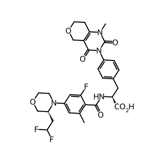 Cc1cc(N2CCOC[C@@H]2CC(F)F)cc(F)c1C(=O)N[C@@H](Cc1ccc(-n2c(=O)c3c(n(C)c2=O)CCOC3)cc1)C(=O)O